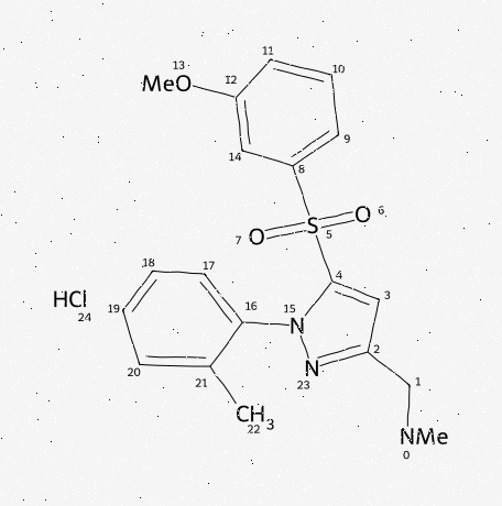 CNCc1cc(S(=O)(=O)c2cccc(OC)c2)n(-c2ccccc2C)n1.Cl